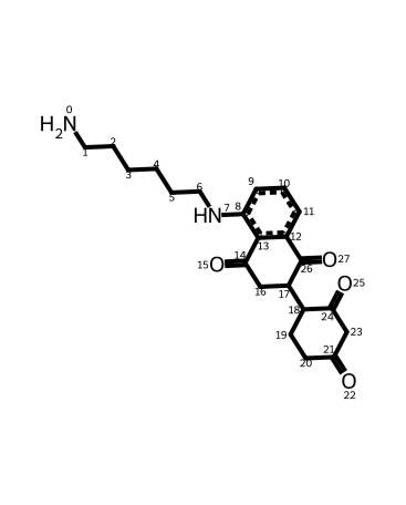 NCCCCCCNc1cccc2c1C(=O)CC(C1CCC(=O)CC1=O)C2=O